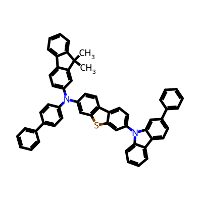 CC1(C)c2ccccc2-c2ccc(N(c3ccc(-c4ccccc4)cc3)c3ccc4c(c3)sc3cc(-n5c6ccccc6c6ccc(-c7ccccc7)cc65)ccc34)cc21